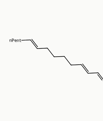 [CH]=CC=CCCCCC=CCCCCC